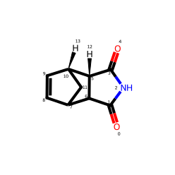 O=C1NC(=O)[C@@H]2C1C1C=C[C@H]2C1